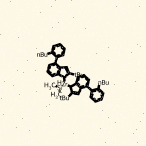 CCCCc1ccccc1-c1cccc2c1C=C(C(C)(C)C)[CH]2[Zr]([CH]1C(C(C)(C)C)=Cc2c(-c3ccccc3CCCC)cccc21)[SiH](C)C